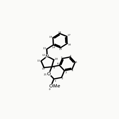 COC1Cc2ccccc2C2(CCN(Cc3ccccc3)C2)O1